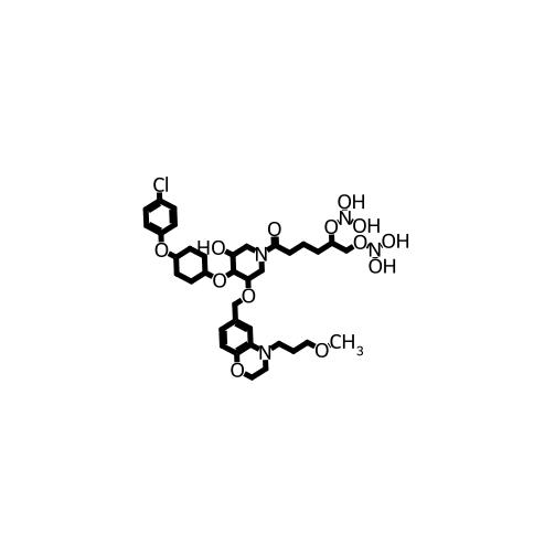 COCCCN1CCOc2ccc(COC3CN(C(=O)CCCC(CON(O)O)ON(O)O)CC(O)C3OC3CCC(Oc4ccc(Cl)cc4)CC3)cc21